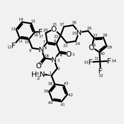 N[C@@H](Cn1c(=O)c2c(n(Cc3c(F)cccc3F)c1=O)COC21CCN(Cc2ccc(C(F)(F)F)o2)CC1)c1ccccc1